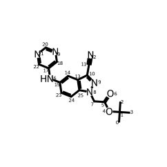 CC(C)(C)OC(=O)Cn1nc(C#N)c2cc(Nc3cncnc3)ccc21